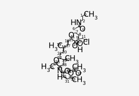 CCCNC(=O)C[C@@H]1C[C@@](O)(CCl)C(=O)[C@@H](/C=C/C(C)=C/C[C@@H]2O[C@H](C)[C@H](NC(=O)/C=C\[C@H](C)OC(C)=O)C[C@@H]2C)O1